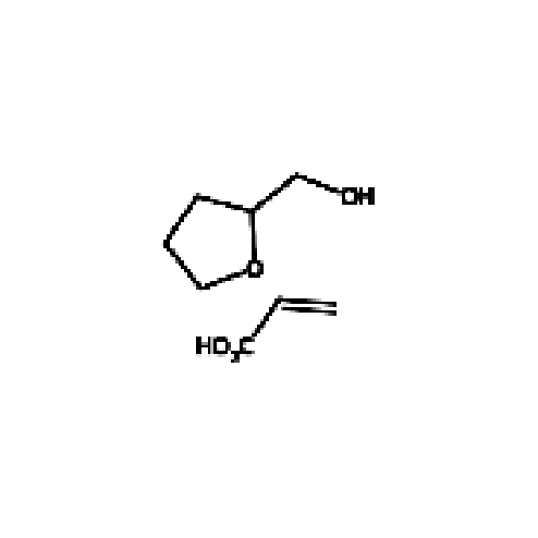 C=CC(=O)O.OCC1CCCO1